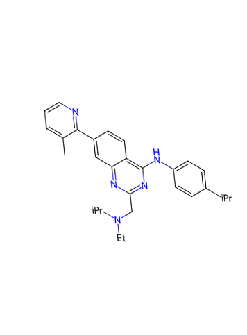 CCN(Cc1nc(Nc2ccc(C(C)C)cc2)c2ccc(-c3ncccc3C)cc2n1)C(C)C